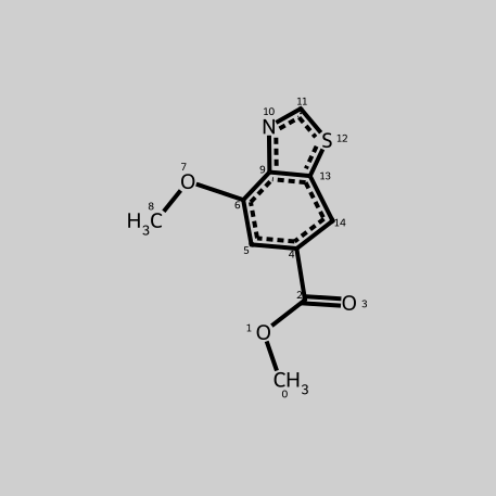 COC(=O)c1cc(OC)c2n[c]sc2c1